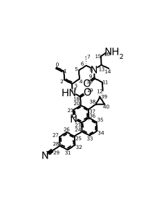 C=C/C=C(\CC[C@H](C)N(C(=O)CC)C(C)CN)NC(=O)c1cnc2c(-c3ccc(C#N)cc3)cccc2c1C1CC1